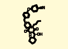 CCCCN1C(=O)[C@@H]([C@H](O)C2CCCCC2)NC(=O)C12CCN(Cc1ccc(Oc3ccc(C#N)cc3)cc1)CC2